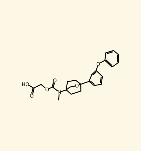 CN(C(=O)OCC(=O)O)C12CCC(c3cccc(Oc4ccccc4)c3)(CC1)OC2